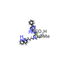 COCC(F)CN(CCCCc1ccc2c(n1)NCCC2)CCC(Nc1cnc(-c2ccccc2)cn1)C(=O)O